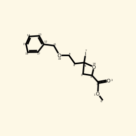 COC(=O)C1CC(I)(CCOCc2ccccc2)O1